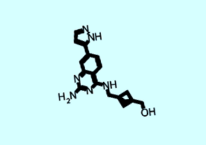 Nc1nc(NCC23CC(CO)(C2)C3)c2ccc(-c3ccn[nH]3)cc2n1